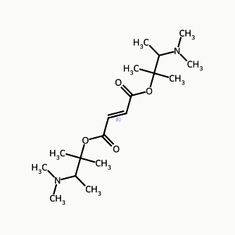 CC(N(C)C)C(C)(C)OC(=O)/C=C/C(=O)OC(C)(C)C(C)N(C)C